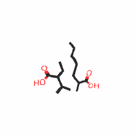 CCC(C(=O)O)C(C)C.CCCCCC(C)C(=O)O